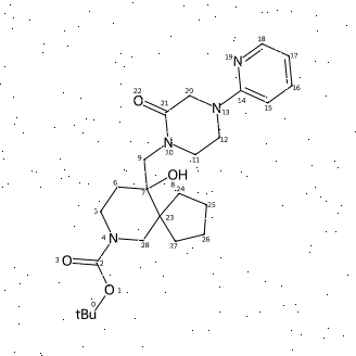 CC(C)(C)OC(=O)N1CCC(O)(CN2CCN(c3ccccn3)CC2=O)C2(CCCC2)C1